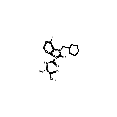 CC(C)(C)[C@H](NC(=O)n1c(=O)n(CC2CCCCC2)c2c(F)cccc21)C(N)=O